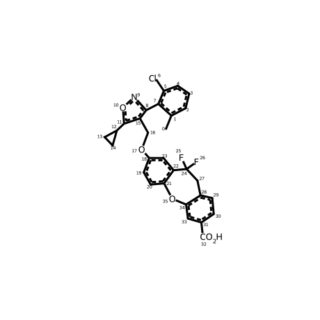 Cc1cccc(Cl)c1-c1noc(C2CC2)c1COc1ccc2c(c1)C(F)(F)Cc1ccc(C(=O)O)cc1O2